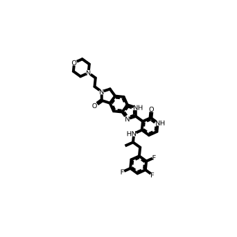 CC(Cc1cc(F)cc(F)c1F)Nc1cc[nH]c(=O)c1-c1nc2cc3c(cc2[nH]1)CN(CCN1CCOCC1)C3=O